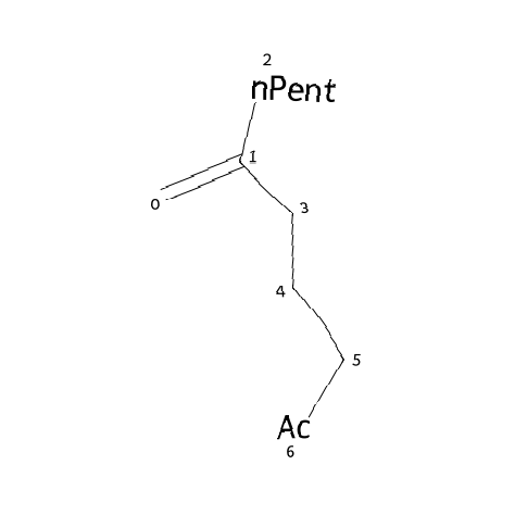 C=C(CCCCC)CCCC(C)=O